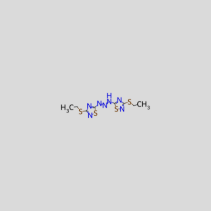 CCSc1nsc(N=NNc2nc(SCC)ns2)n1